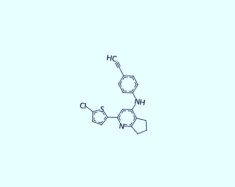 C#Cc1ccc(Nc2cc(-c3ccc(Cl)s3)nc3c2CCC3)cc1